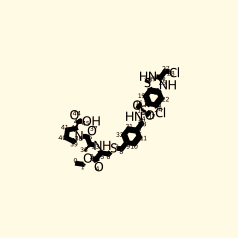 CCOC(=O)C(CSCc1ccc(CNS(=O)(=O)c2cc3c(cc2Cl)NC(CCl)NS3)cc1)N[C@@H](C)C(=O)N1CCC[C@H]1C(=O)O